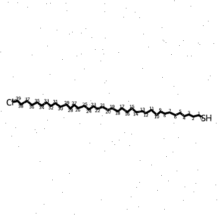 SCCCCCCCCCCCCCCCCCCCCCCCCCCCCCCCCCCCCCCCCl